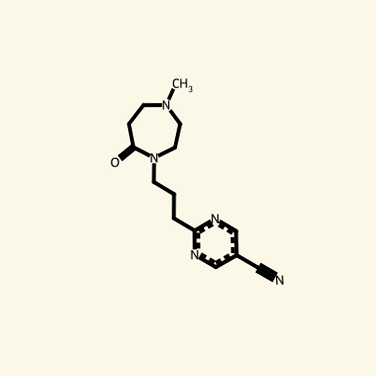 CN1CCC(=O)N(CCCc2ncc(C#N)cn2)CC1